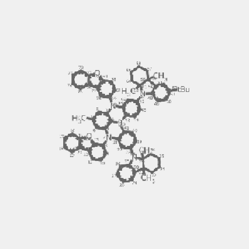 Cc1cc2c3c(c1)N(c1cccc4c1oc1ccccc14)c1cc(N4c5ccccc5C5(C)CCCCC45C)ccc1B3c1ccc(N3c4ccc(C(C)(C)C)cc4C4(C)CCCCC34C)cc1N2c1ccc2oc3ccccc3c2c1